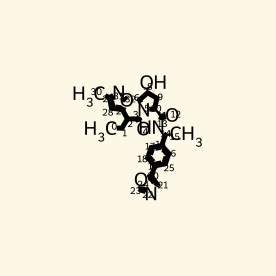 CCC(C(=O)N1C[C@H](O)C[C@H]1C(=O)N[C@@H](C)c1ccc(-c2cnco2)cc1)c1cc(C)no1